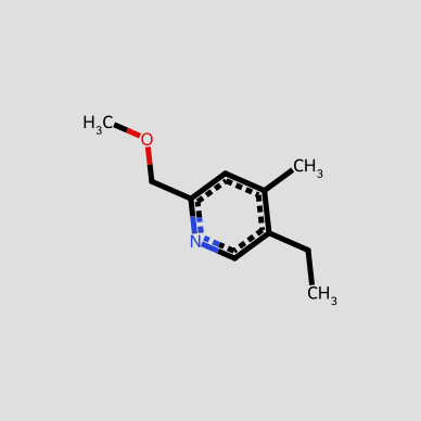 CCc1cnc(COC)cc1C